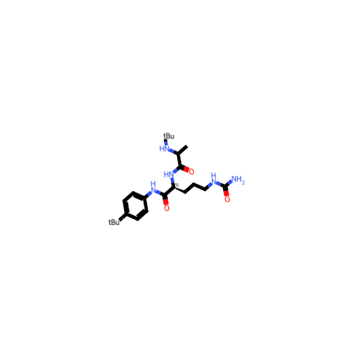 CC(NC(C)(C)C)C(=O)N[C@@H](CCCNC(N)=O)C(=O)Nc1ccc(C(C)(C)C)cc1